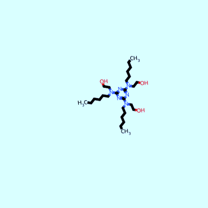 CCCCCCN(CCO)c1nc(N(CCO)CCCCCC)nc(N(CCO)CCCCCC)n1